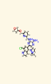 Cn1ccc(-c2nc(N)c(NCc3cccc(COC4CCOC4)n3)nc2-c2cc(Cl)c3ncccc3c2)n1